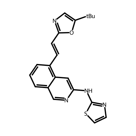 CC(C)(C)c1cnc(/C=C/c2cccc3cnc(Nc4nccs4)cc23)o1